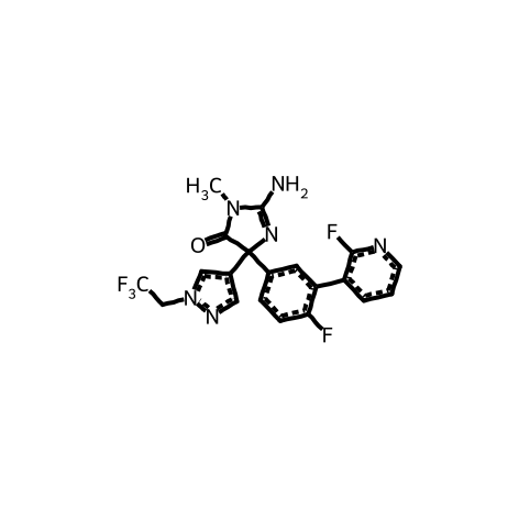 CN1C(=O)C(c2ccc(F)c(-c3cccnc3F)c2)(c2cnn(CC(F)(F)F)c2)N=C1N